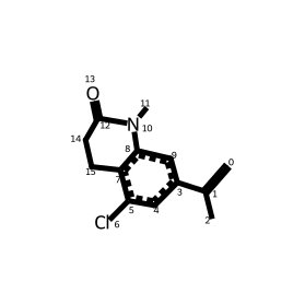 C=C(C)c1cc(Cl)c2c(c1)N(C)C(=O)CC2